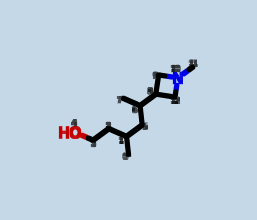 CC(CCO)CC(C)C1CN(C)C1